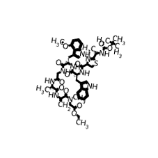 C=C(NC(=O)[C@@H](C)NC(=O)CNC(=O)[C@H](Cc1c[nH]c2cccc(OC)c12)NC(=O)[C@H](Cc1c[nH]c2ccccc12)NC(=O)C1CSC([C@@H](C)NC(=O)OC(C)(C)C)=N1)C(=O)N(C)CC(=O)OCC